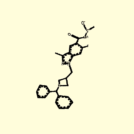 Cc1nn(CC2CN(C(c3ccccc3)c3ccccc3)C2)c2cc(F)c(C(=O)N[S+](C)[O-])cc12